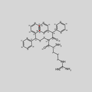 N=C(N)NCCCC(N)C(=O)N(CCC(c1ccccc1)c1ccccc1)C(=O)C(c1ccccc1)c1ccccc1